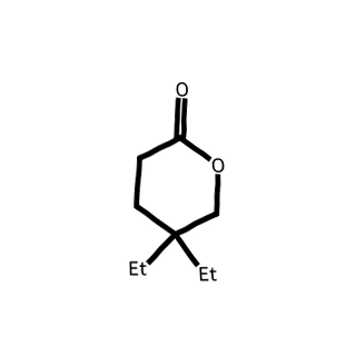 CCC1(CC)CCC(=O)OC1